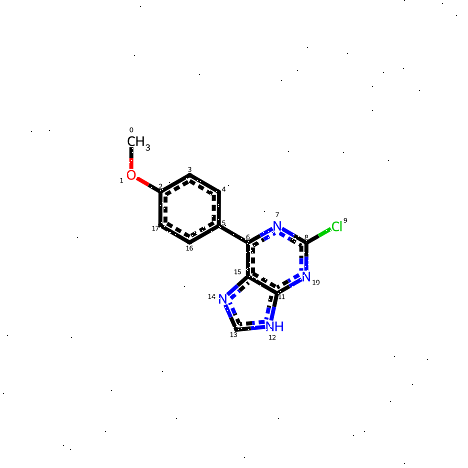 COc1ccc(-c2nc(Cl)nc3[nH]cnc23)cc1